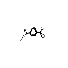 O=C(F)c1ccc(C(F)F)cc1